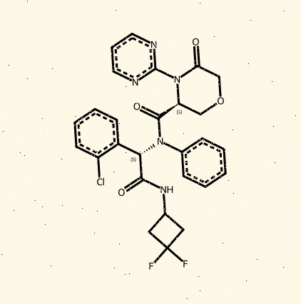 O=C(NC1CC(F)(F)C1)[C@H](c1ccccc1Cl)N(C(=O)[C@@H]1COCC(=O)N1c1ncccn1)c1ccccc1